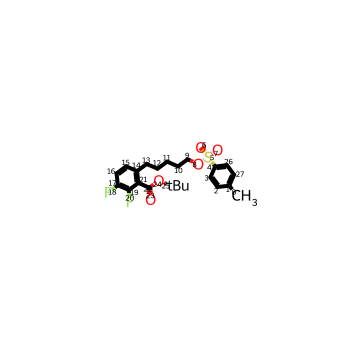 Cc1ccc(S(=O)(=O)OCCCCCc2ccc(F)c(F)c2C(=O)OC(C)(C)C)cc1